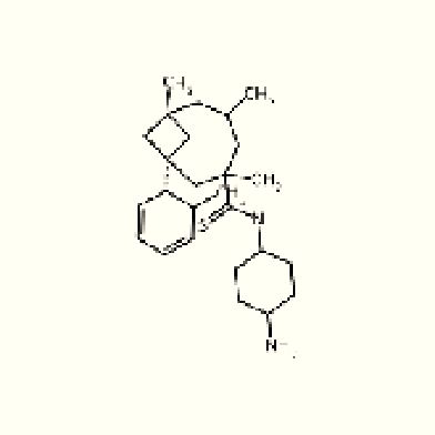 CC1CC(C)(C(=S)NC2CCC(N)CC2)C[C@]2(C3C=CC=CC3C)C[C@@](C)(C1)C2